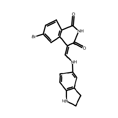 O=C1NC(=O)c2ccc(Br)cc2C1=CNc1ccc2c(c1)CCN2